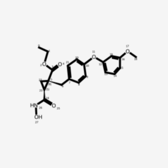 CCOC(=O)[C@@]1(Cc2ccc(Oc3cccc(OC)c3)cc2)C[C@@H]1C(=O)NO